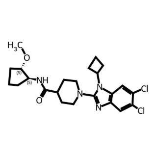 CO[C@H]1CCC[C@@H]1NC(=O)C1CCN(c2nc3cc(Cl)c(Cl)cc3n2C2CCC2)CC1